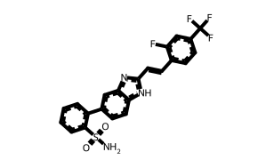 NS(=O)(=O)c1ccccc1-c1ccc2[nH]c(/C=C/c3ccc(C(F)(F)F)cc3F)nc2c1